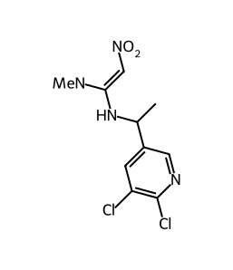 CNC(=C[N+](=O)[O-])NC(C)c1cnc(Cl)c(Cl)c1